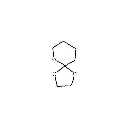 C1CCC2(OC1)OCCO2